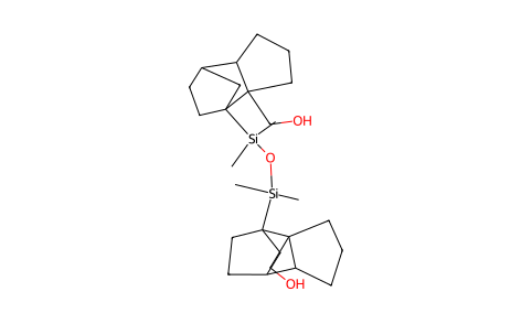 C[Si](C)(O[Si](C)(C)C12CCC(C1)C1CCCC12CO)C12CCC(C1)C1CCCC12CO